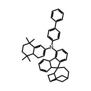 CC1(C)CCC(C)(C)C2CC=C(N(c3ccc(-c4ccccc4)cc3)c3cccc4c3C3C=CC=CC3C43CCC4CC5CC3C5C4)C=C21